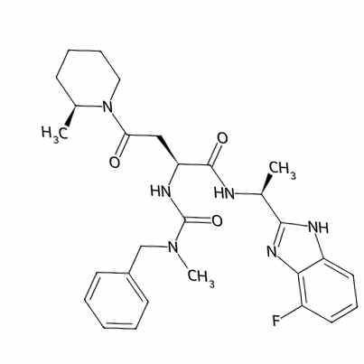 C[C@H](NC(=O)[C@H](CC(=O)N1CCCC[C@@H]1C)NC(=O)N(C)Cc1ccccc1)c1nc2c(F)cccc2[nH]1